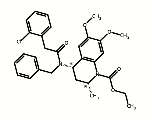 CCOC(=O)N1c2cc(OC)c(OC)cc2[C@@H](N(Cc2ccccc2)C(=O)Cc2ccccc2Cl)C[C@H]1C